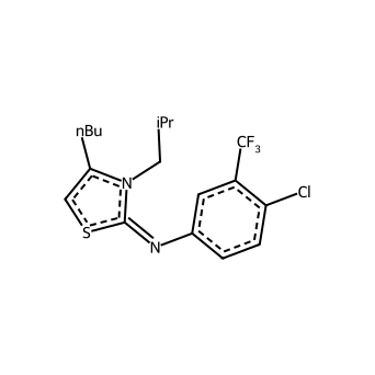 CCCCc1csc(=Nc2ccc(Cl)c(C(F)(F)F)c2)n1CC(C)C